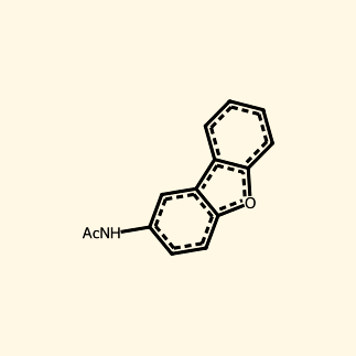 CC(=O)Nc1ccc2oc3ccccc3c2c1